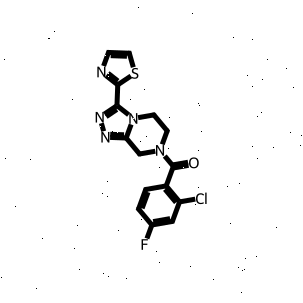 O=C(c1ccc(F)cc1Cl)N1CCn2c(nnc2-c2nccs2)C1